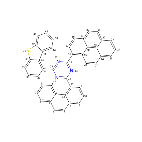 c1ccc2c(c1)ccc1cccc(-c3nc(-c4ccc5ccc6cccc7ccc4c5c67)nc(-c4cccc5sc6ccccc6c45)n3)c12